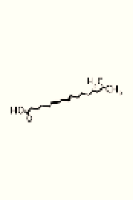 CC(C)CCCCCC=CCC=CCCCCC(=O)O